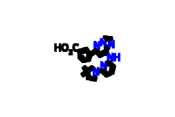 CC1(C)CCN(c2cccc(Nc3cc(-c4cccc(C(=O)O)c4)nn4ccnc34)n2)C1